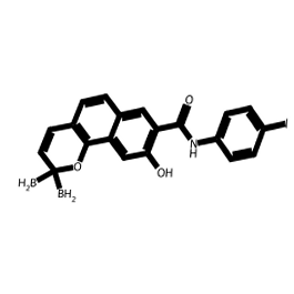 BC1(B)C=Cc2ccc3cc(C(=O)Nc4ccc(I)cc4)c(O)cc3c2O1